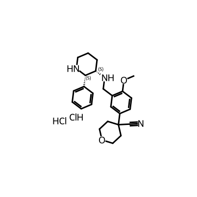 COc1ccc(C2(C#N)CCOCC2)cc1CN[C@H]1CCCN[C@H]1c1ccccc1.Cl.Cl